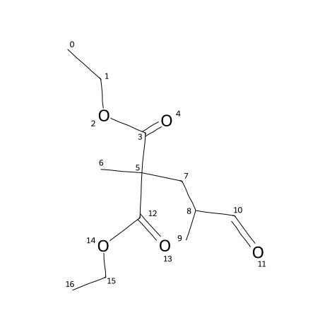 CCOC(=O)C(C)(CC(C)C=O)C(=O)OCC